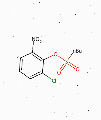 CCCCS(=O)(=O)Oc1c(Cl)cccc1[N+](=O)[O-]